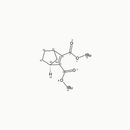 CC(C)(C)OC(=O)C1=C(C(=O)OC(C)(C)C)[C@H]2CCC1C2